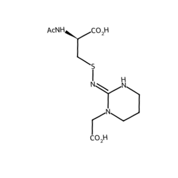 CC(=O)N[C@H](CS/N=C1\NCCCN1CC(=O)O)C(=O)O